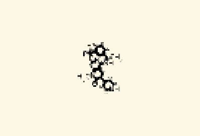 C[C@@H](Nc1ncnc2c1cc(C1=CCNCC1)c(=O)n2C)c1cccc(C(F)(F)F)c1